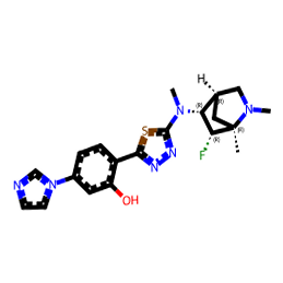 CN(c1nnc(-c2ccc(-n3ccnc3)cc2O)s1)[C@@H]1[C@H]2CN(C)[C@](C)(C2)[C@@H]1F